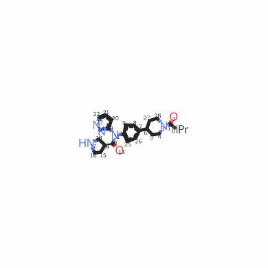 CC(C)C(=O)N1CCC(c2ccc(N(C(=O)[C@H]3CCNC3)c3cccnn3)cc2)CC1